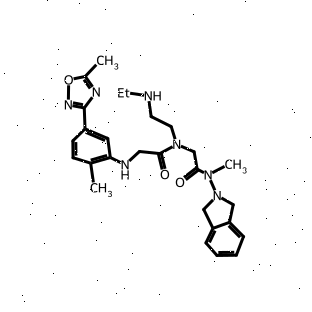 CCNCCN(CC(=O)N(C)N1Cc2ccccc2C1)C(=O)CNc1cc(-c2noc(C)n2)ccc1C